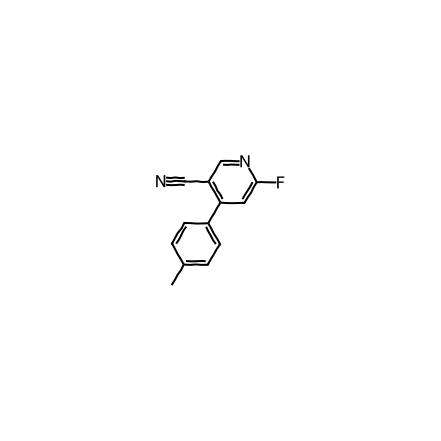 Cc1ccc(-c2cc(F)ncc2C#N)cc1